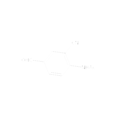 CC(=O)Nc1ccc(C=O)cc1C#N